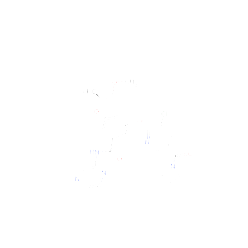 COC[C@H](C)Oc1cc(Oc2ncc(C(=O)N3CCC3)cc2Cl)cc(C(=O)Nc2cnccn2)c1